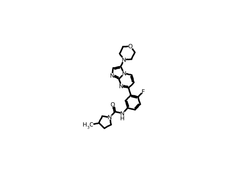 CC1CCN(C(=O)Nc2ccc(F)c(-c3ccn4c(N5CCOCC5)cnc4n3)c2)C1